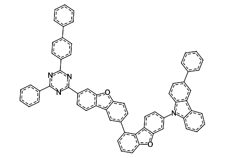 c1ccc(-c2ccc(-c3nc(-c4ccccc4)nc(-c4ccc5c(c4)oc4ccc(-c6cccc7oc8cc(-n9c%10ccccc%10c%10cc(-c%11ccccc%11)ccc%109)ccc8c67)cc45)n3)cc2)cc1